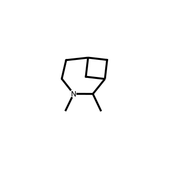 CC1C2CC(CCN1C)C2